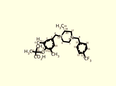 Cc1cc(CN2CCN(Cc3ccc(C(F)(F)F)cc3)C[C@H]2C)cc(C)c1OC(C)(C)C(=O)O